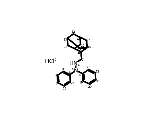 Cl.c1ccc(N(NCC2C3CC4CC(C3)CC2C4)c2ccccc2)cc1